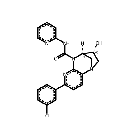 O=C(Nc1ccccn1)N1c2nc(-c3cccc(Cl)c3)ccc2N2C[C@@H](O)[C@H]1C2